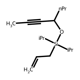 C=CC[Si](OC(C#CC)CCC)(C(C)C)C(C)C